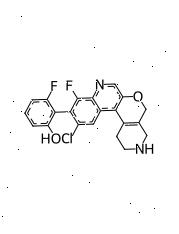 Oc1cccc(F)c1-c1c(Cl)cc2c3c(cnc2c1F)OCC1=C3CCNC1